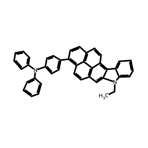 CCn1c2ccccc2c2c3ccc4ccc(-c5ccc(N(c6ccccc6)c6ccccc6)cc5)c5ccc(cc21)c3c45